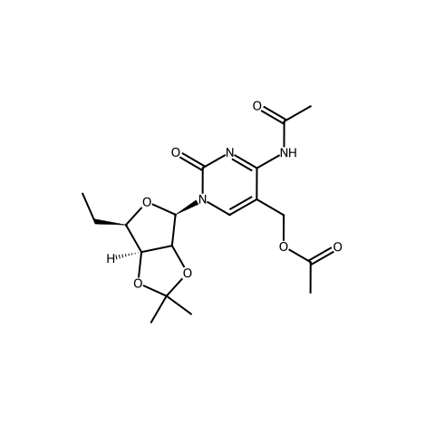 CC[C@H]1O[C@@H](n2cc(COC(C)=O)c(NC(C)=O)nc2=O)C2OC(C)(C)O[C@H]21